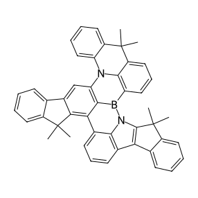 CC1(C)c2ccccc2N2c3cc4c(c5c3B(c3cccc1c32)n1c2c(c3cccc-5c31)-c1ccccc1C2(C)C)C(C)(C)c1ccccc1-4